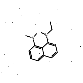 CCN(C)c1cccc2cccc(N(C)C)c12